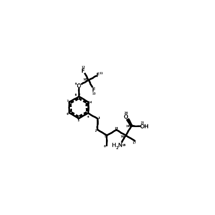 CC(CCc1cccc(OC(F)(F)F)c1)CC(C)(N)C(=O)O